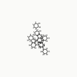 c1ccc(-c2cc(-c3cccc4c3sc3c(-c5nc(-c6ccccc6)nc(-c6ccccc6)n5)cccc34)c3c(c2)sc2ccccc23)cc1